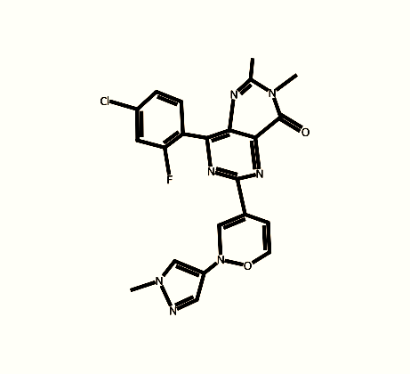 Cc1nc2c(-c3ccc(Cl)cc3F)nc(C3=CN(c4cnn(C)c4)OC=C3)nc2c(=O)n1C